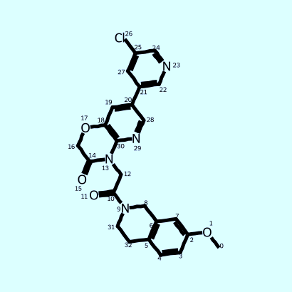 COc1ccc2c(c1)CN(C(=O)CN1C(=O)COc3cc(-c4cncc(Cl)c4)cnc31)CC2